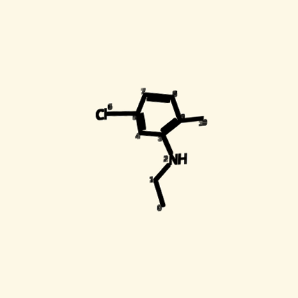 CCNc1cc(Cl)ccc1C